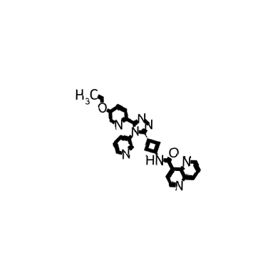 CCOC1C=CC(c2nnc([C@H]3C[C@H](NC(=O)c4ccnc5cccnc45)C3)n2-c2cccnc2)=NC1